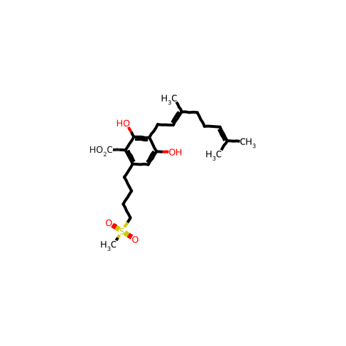 CC(C)=CCC/C(C)=C/Cc1c(O)cc(CCCCS(C)(=O)=O)c(C(=O)O)c1O